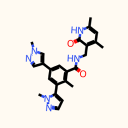 Cc1cc(C)c(CNC(=O)c2cc(-c3cnn(C)c3)cc(-c3ccnn3C)c2C)c(=O)[nH]1